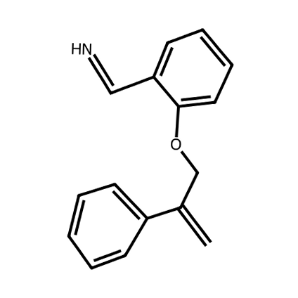 C=C(COc1ccccc1C=N)c1ccccc1